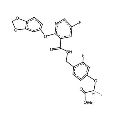 COC(=O)[C@@H](C)Oc1ccc(CNC(=O)c2cc(F)cnc2Oc2ccc3c(c2)OCO3)c(F)c1